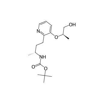 C[C@H](CCc1ncccc1O[C@H](C)CO)NC(=O)OC(C)(C)C